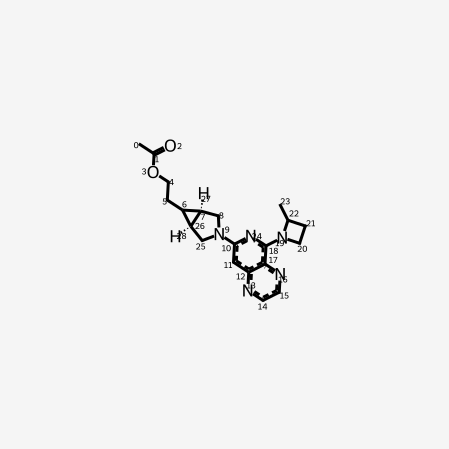 CC(=O)OCCC1[C@H]2CN(c3cc4nccnc4c(N4CCC4C)n3)C[C@@H]12